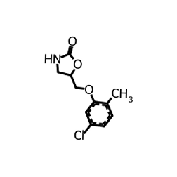 Cc1ccc(Cl)cc1OCC1CNC(=O)O1